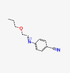 CCCOC/C=N/c1ccc(C#N)cc1